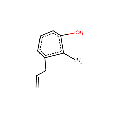 C=CCc1cccc(O)c1[SiH3]